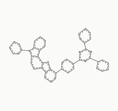 c1ccc(-c2nc(-c3ccccc3)nc(-c3ccc(-c4cccc5c4sc4c5ccc5c4c4ccccc4n5-c4ccccc4)cc3)n2)cc1